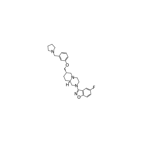 Fc1ccc2onc(N3CCN4C[C@H](COc5cccc(CN6CCCC6)c5)CC[C@H]4C3)c2c1